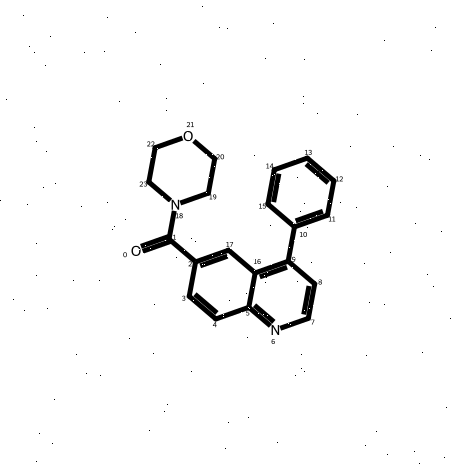 O=C(c1ccc2nccc(-c3ccccc3)c2c1)N1CCOCC1